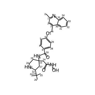 Cc1cc(COc2ccc(C(=O)NC3(CC(=O)NO)CCNC(C(C)(C)C)C3)cc2)c2ccccc2n1